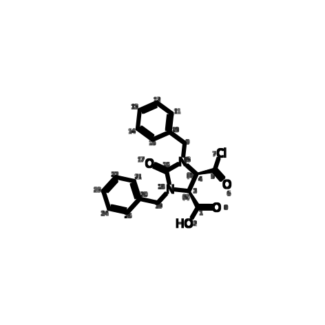 O=C(O)[C@@H]1[C@H](C(=O)Cl)N(Cc2ccccc2)C(=O)N1Cc1ccccc1